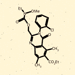 CCOC(=O)c1c(C)cc2nc(COC(=O)N(CC)OC)n(-c3ccccc3Cl)c(=O)c2c1C